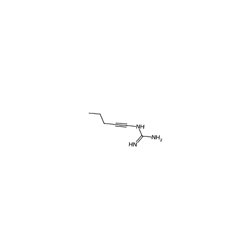 CCCC#CNC(=N)N